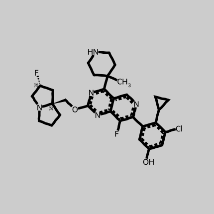 CC1(c2nc(OC[C@@]34CCCN3C[C@H](F)C4)nc3c(F)c(-c4cc(O)cc(Cl)c4C4CC4)ncc23)CCNCC1